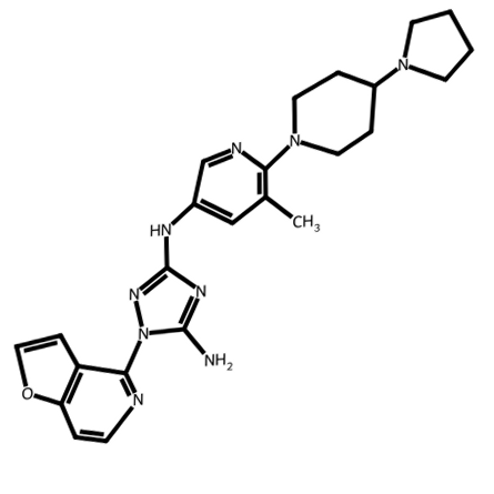 Cc1cc(Nc2nc(N)n(-c3nccc4occc34)n2)cnc1N1CCC(N2CCCC2)CC1